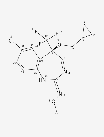 CON=C1N=C[C@@](OCC2CC2)(C(F)(F)F)c2cc(Cl)ccc2N1